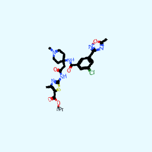 CCCOC(=O)c1sc(NC(=O)CC2(NC(=O)c3cc(Cl)cc(-c4noc(C)n4)c3)CCN(C)CC2)nc1C